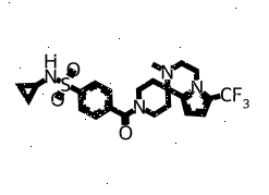 CN1CCn2c(C(F)(F)F)ccc2C12CCN(C(=O)c1ccc(S(=O)(=O)NC3CC3)cc1)CC2